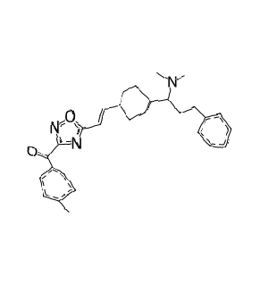 Cc1ccc(C(=O)c2noc(/C=C/C3CCC(C(CCc4ccccc4)N(C)C)CC3)n2)cc1